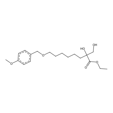 CCOC(=O)C(O)(CO)CCCCCCOCc1ccc(OC)cc1